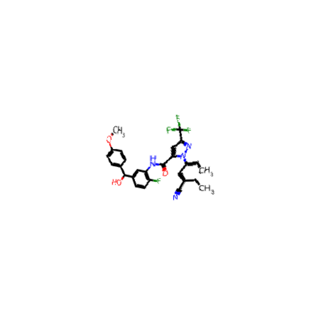 C/C=C(\C=C(\C#N)CC)n1nc(C(F)(F)F)cc1C(=O)Nc1cc(C(O)c2ccc(OC)cc2)ccc1F